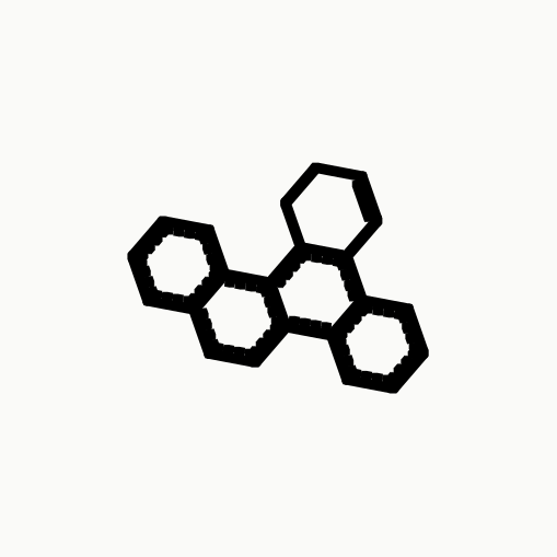 C1=Cc2c(c3c4ccccc4ccc3c3ccccc23)CC1